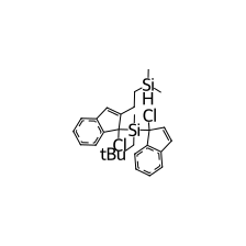 C[SiH](C)CCC1=Cc2ccccc2C1(Cl)[Si](C)(CC(C)(C)C)C1(Cl)C=Cc2ccccc21